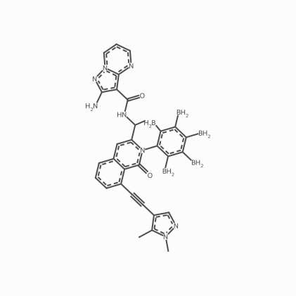 Bc1c(B)c(B)c(-n2c(C(C)NC(=O)c3c(N)nn4cccnc34)cc3cccc(C#Cc4cnn(C)c4C)c3c2=O)c(B)c1B